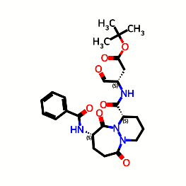 CC(C)(C)OC(=O)C[C@@H](C=O)NC(=O)[C@@H]1CCCN2C(=O)CC[C@H](NC(=O)c3ccccc3)C(=O)N12